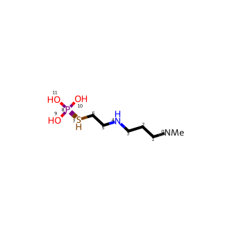 CNCCCNCC[SH]=P(O)(O)O